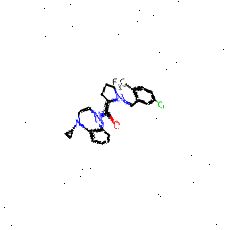 O=C(C1CCCN1Cc1cc(Cl)ccc1C(F)(F)F)N1CCN(C2CC2)c2ccccc21